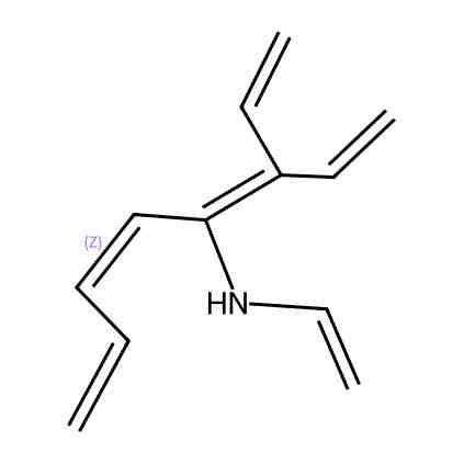 C=C/C=C\C(NC=C)=C(C=C)C=C